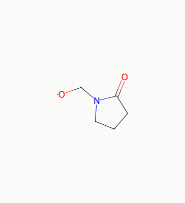 [O]CN1CCCC1=O